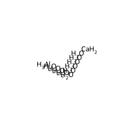 O.O.O.O.O.O.O.O.O.O.[AlH3].[CaH2]